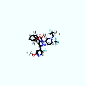 COc1cc(-c2cc(C(=O)C3[C@@H]4CC[C@H]3C[C@H](C(=O)N[C@@H]3CC[C@H](C(F)(F)F)N(CC(C)(C)F)C3)C4)n[nH]2)c(F)cn1